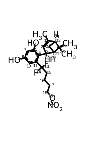 CC1=C[C@@H](c2c(O)cc(O)cc2C(F)(F)CCCCO[N+](=O)[O-])[C@H]2C[C@@H]1C2(C)C